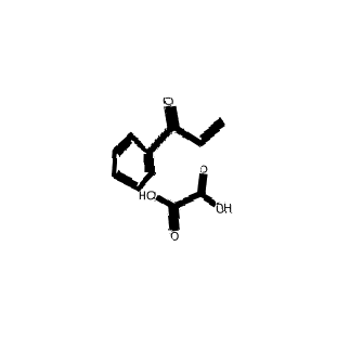 C=CC(=O)c1ccccc1.O=C(O)C(=O)O